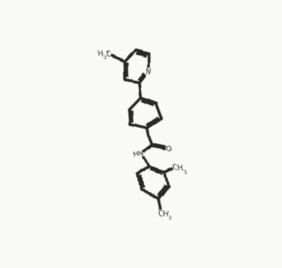 Cc1ccnc(-c2ccc(C(=O)Nc3ccc(C)cc3C)cc2)c1